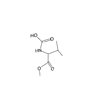 COC(=O)C(NC(=O)O)C(C)C